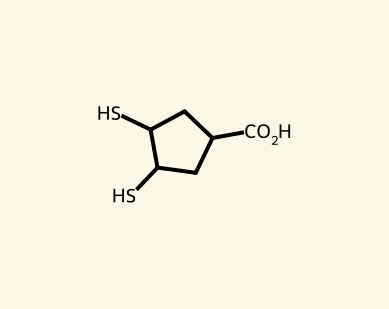 O=C(O)C1CC(S)C(S)C1